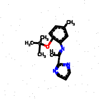 CC(=Nc1cc(C)ccc1O[Si](C)(C)C)c1ncccn1